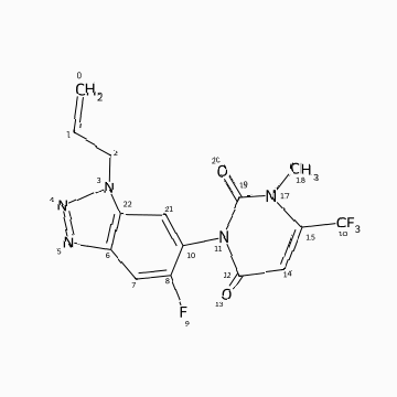 C=CCn1nnc2cc(F)c(-n3c(=O)cc(C(F)(F)F)n(C)c3=O)cc21